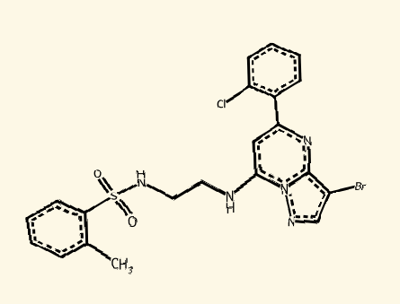 Cc1ccccc1S(=O)(=O)NCCNc1cc(-c2ccccc2Cl)nc2c(Br)cnn12